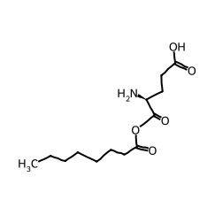 CCCCCCCC(=O)OC(=O)[C@@H](N)CCC(=O)O